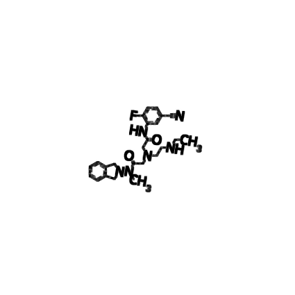 CCNCCN(CC(=O)Nc1cc(C#N)ccc1F)CC(=O)N(C)N1Cc2ccccc2C1